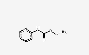 CC[C@@H](C)COC(=O)Nc1ccccn1